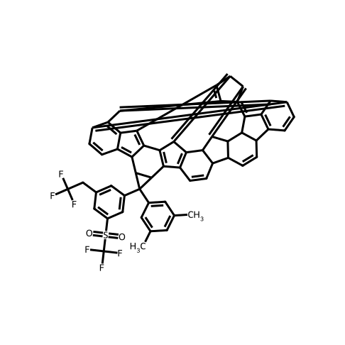 Cc1cc(C)cc(C2(c3cc(CC(F)(F)F)cc(S(=O)(=O)C(F)(F)F)c3)C3c4c5c6c7c4c4c(c8ccc9c%10ccc%11c%12c%13c%14c(c7c7c%14c(c%12%10)c9c8c47)=C4C6C(C=C5)C5C=CC%11C%13C45)C32)c1